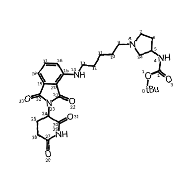 CC(C)(C)OC(=O)NC1CCN(CCCCCNc2cccc3c2C(=O)N(C2CCC(=O)NC2=O)C3=O)C1